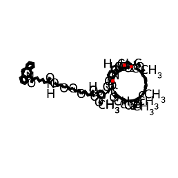 CO[C@H]1C[C@@H]2CC[C@@H](C)[C@@](O)(O2)C(=O)C(=O)N2CCCC[C@H]2C(=O)O[C@H]([C@H](C)C[C@@H]2CC[C@@H](OC(=O)CCOCCOCCOCCONC(=O)CCCCC(=O)N3Cc4ccccc4C#Cc4ccccc43)[C@H](OC)C2)CC(=O)[C@H](C)/C=C(\C)[C@@H](O)[C@@H](OC)C(=O)[C@H](C)C[C@H](C)/C=C/C=C/C=C/1C